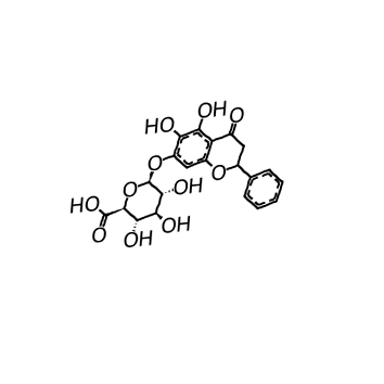 O=C1CC(c2ccccc2)Oc2cc(O[C@@H]3O[C@H](C(=O)O)[C@@H](O)[C@H](O)[C@H]3O)c(O)c(O)c21